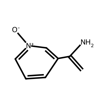 C=C(N)c1ccc[n+]([O-])c1